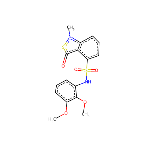 COc1cccc(NS(=O)(=O)c2cccc3c2c(=O)sn3C)c1OC